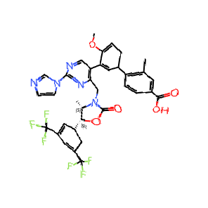 COC1=CCC(c2ccc(C(=O)O)cc2C)C=C1c1cnc(-n2ccnc2)nc1CN1C(=O)O[C@H](C2C=C(C(F)(F)F)C=C(C(F)(F)F)C2)[C@@H]1C